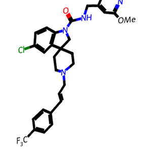 COc1cc(CNC(=O)N2CC3(CCN(CC=Cc4ccc(C(F)(F)F)cc4)CC3)c3cc(Cl)ccc32)ccn1